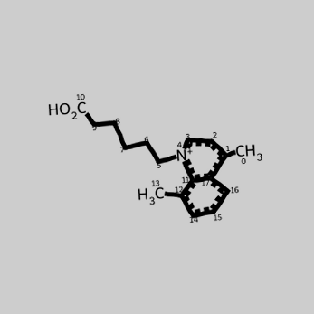 Cc1cc[n+](CCCCCC(=O)O)c2c(C)cccc12